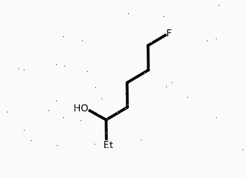 [CH2]CC(O)CCCCF